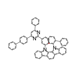 c1ccc(-c2ccc(-c3cc(-c4ccccc4)nc(-c4cccc(-n5c6ccccc6c6ccc7c8ccccc8n(-c8ccccc8-c8ccccc8)c7c65)c4)n3)cc2)cc1